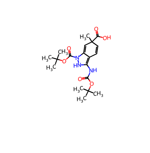 CC(C)(C)OC(=O)NC1=C2C=CC(C)(C(=O)O)C=C2N(C(=O)OC(C)(C)C)N1